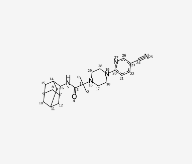 CC(C)(C(=O)NC1C2CC3CC(C2)CC1C3)N1CCN(c2ccc(C#N)cn2)CC1